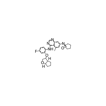 Cc1cc(N=S2(=O)CCCC2)cc2ncnc(Nc3ccc(F)cc3O[C@@H]3CO[C@@H]4CCC[C@@H]43)c12